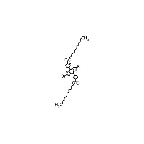 CCCCCCCCCCCCOC(=O)c1ccc(-c2c3cc(Br)sc3c(-c3ccc(C(=O)OCCCCCCCCCCCC)s3)c3cc(Br)sc23)s1